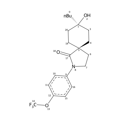 CCCC[C@]1(O)CC[C@]2(CCN(c3ccc(OC(F)(F)F)cc3)C2=O)CC1